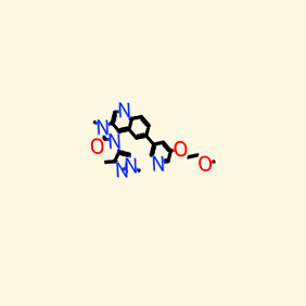 COCCOc1cncc(-c2ccc3ncc4c(c3c2)n(-c2cn(C)nc2C)c(=O)n4C)c1